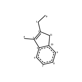 CCC1=C(C)c2ccccc2C1